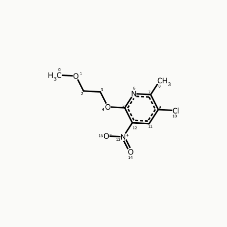 COCCOc1nc(C)c(Cl)cc1[N+](=O)[O-]